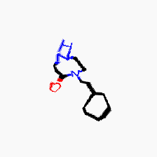 O=C1CNCCN1CCC1CCCCC1